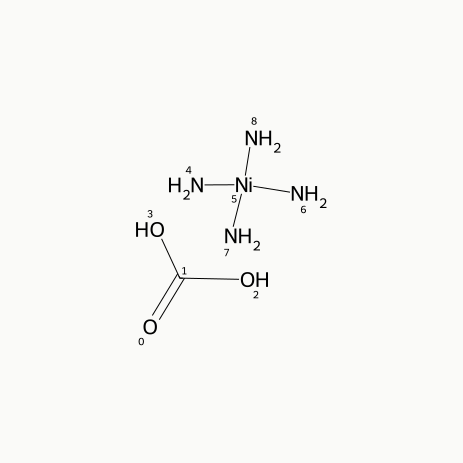 O=C(O)O.[NH2][Ni]([NH2])([NH2])[NH2]